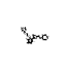 NCCOCCOc1c(-c2csc(CCC3CCCOCC3)n2)ccc(F)c1F